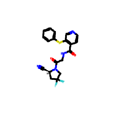 N#C[C@@H]1CC(F)(F)CN1C(=O)CNC(=O)c1ccncc1Sc1ccccc1